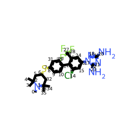 CN1C(C)(C)CC(Sc2ccc(-c3c(Cl)cc(-n4nc(N)nc4N)cc3C(F)(F)F)cc2)CC1(C)C